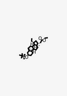 CCOC(=O)C[C@H]1C[C@H](CC)[C@H]2[C@@H]3CC=C4C[C@@H](O[Si](C)(C)C(C)(C)C)CC[C@]4(C)[C@H]3CC[C@]12C